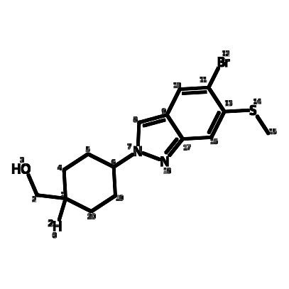 [2H]C1(CO)CCC(n2cc3cc(Br)c(SC)cc3n2)CC1